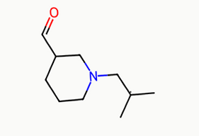 C[C](C)CN1CCCC(C=O)C1